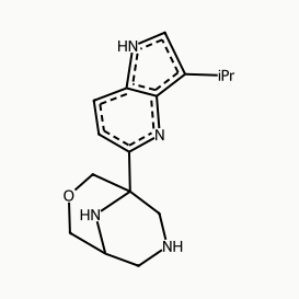 CC(C)c1c[nH]c2ccc(C34CNCC(COC3)N4)nc12